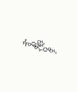 COc1ccc(C2CC2C(=O)N[C@H](C)c2ccc(OCC(F)(F)F)cn2)cc1